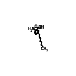 CCCCCCCCc1ccc(N)c(C(=O)O)c1